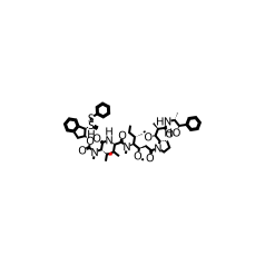 C#[SH](Sc1ccccc1)[C@H]1c2ccccc2C[C@@H]1OC(=O)N(C)[C@H](C(=O)N[C@H](C(=O)N(C)[C@@H]([C@@H](C)CC)[C@@H](CC(=O)N1CCC[C@H]1[C@H](OC)[C@@H](C)C(=O)N[C@H](C)[C@@H](O)c1ccccc1)OC)C(C)C)C(C)C